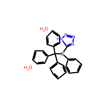 O.O.c1ccc(B(c2nnn[nH]2)C(c2ccccc2)(c2ccccc2)c2ccccc2)cc1